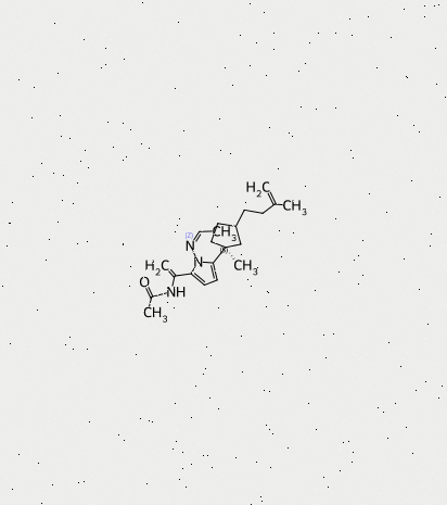 C=C(C)CCC1CC[C@](C)(c2ccc(C(=C)NC(C)=O)n2/N=C\C)C1